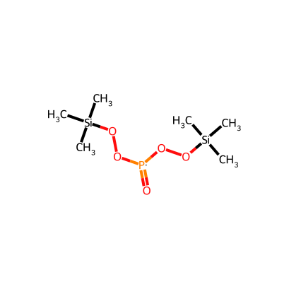 C[Si](C)(C)OO[P](=O)OO[Si](C)(C)C